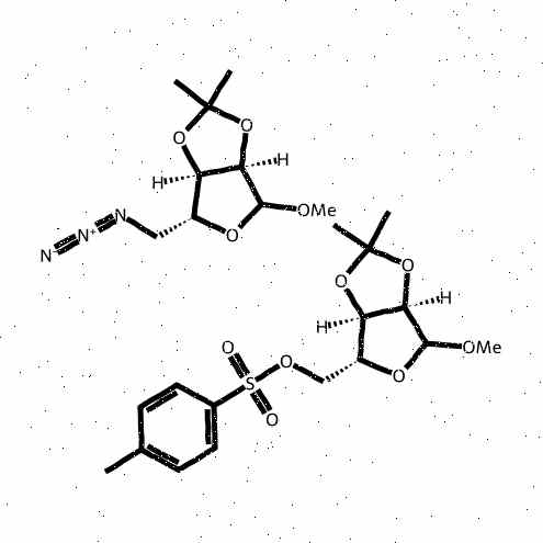 COC1O[C@H](CN=[N+]=[N-])[C@H]2OC(C)(C)O[C@@H]12.COC1O[C@H](COS(=O)(=O)c2ccc(C)cc2)[C@H]2OC(C)(C)O[C@@H]12